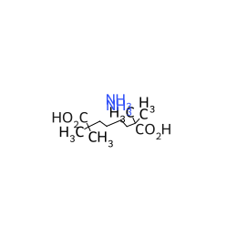 CC(C)(CCCCC(C)(C)C(=O)O)C(=O)O.N.N